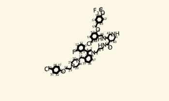 O=C(NCCCn1cc(-c2cccc(F)c2)c2c(CN3CCN(CCOc4ccc(Cl)cc4)CC3)cccc21)C1CCNCC1NCc1cc(Cl)ccc1OCc1ccc(OC(F)(F)F)cc1